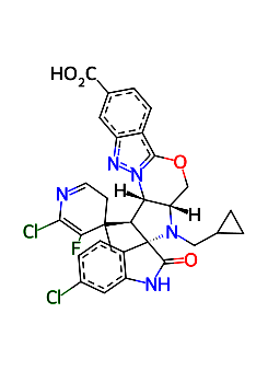 CC1([C@H]2[C@H]3[C@H](COc4c5ccc(C(=O)O)cc5nn43)N(CC3CC3)[C@@]23C(=O)Nc2cc(Cl)ccc23)CC=NC(Cl)=C1F